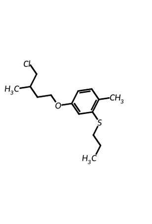 CCCSc1cc(OCCC(C)CCl)ccc1C